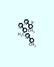 CC1C=C(c2ccccn2)CCC1.CC1C=C(c2ccccn2)CCC1.CC1C=C(c2ccccn2)CCC1.[Ir]